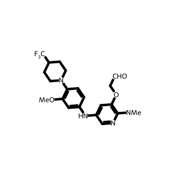 CNc1ncc(Nc2ccc(N3CCC(C(F)(F)F)CC3)c(OC)c2)cc1OCC=O